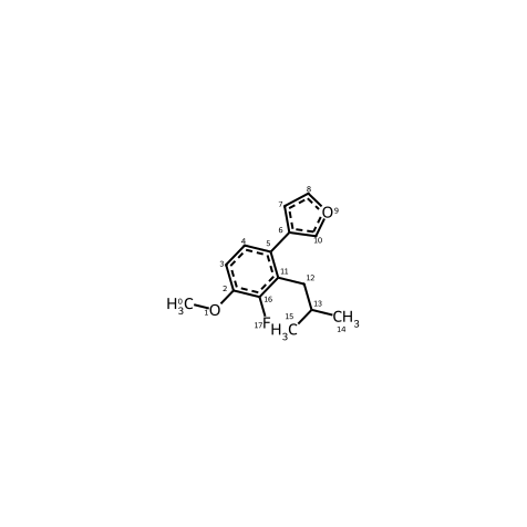 COc1ccc(-c2ccoc2)c(CC(C)C)c1F